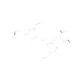 COC[C@H]1O[C@H](OC[C@H]2O[C@H](OC(C)C)[C@H](O)[C@@H](OCC(=O)O)[C@@H]2OCC(=O)O)[C@H](O)[C@@H](OCC(=O)O)[C@@H]1O